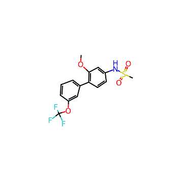 COc1cc(NS(C)(=O)=O)ccc1-c1cccc(OC(F)(F)F)c1